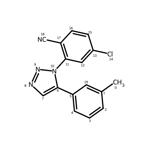 Cc1cccc(-c2cnnn2-c2cc(Cl)ccc2C#N)c1